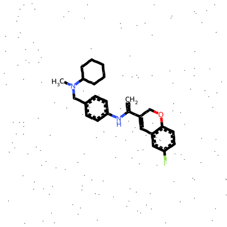 C=C(Nc1ccc(CN(C)C2CCCCC2)cc1)C1=Cc2cc(F)ccc2OC1